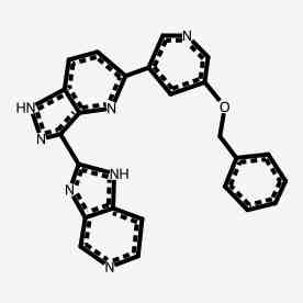 c1ccc(COc2cncc(-c3ccc4[nH]nc(-c5nc6cnccc6[nH]5)c4n3)c2)cc1